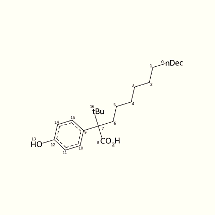 CCCCCCCCCCCCCCCCC(C(=O)O)(c1ccc(O)cc1)C(C)(C)C